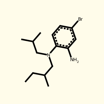 CCC(C)CN(CC(C)C)c1ccc(Br)cc1N